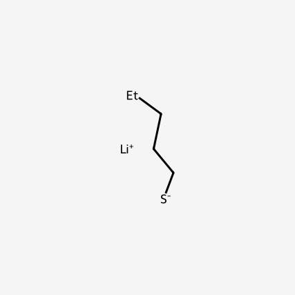 CCCCC[S-].[Li+]